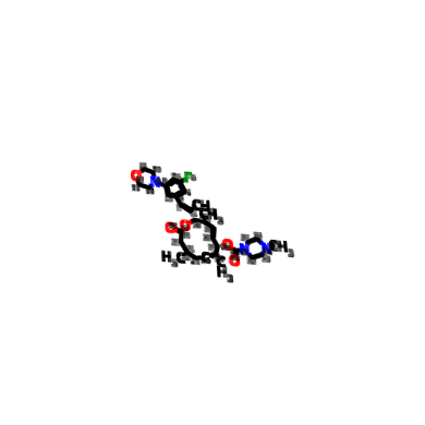 C/C(=C\c1cc(F)cc(N2CCOCC2)c1)[C@H]1OC(=O)C[C@H](C)CC[C@H](C)[C@@H](OC(=O)N2CCN(C)CC2)/C=C/[C@@H]1C